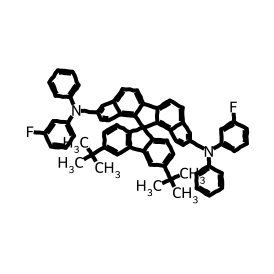 CC(C)(C)c1ccc2c(c1)-c1cc(C(C)(C)C)ccc1C21c2c(ccc3cc(N(c4ccccc4)c4cccc(F)c4)ccc23)-c2ccc3cc(N(c4ccccc4)c4cccc(F)c4)ccc3c21